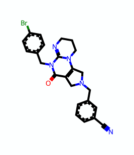 N#Cc1cccc(CN2CC3=C(C2)N2CCCN=C2N(Cc2ccc(Br)cc2)C3=O)c1